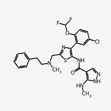 CNc1[nH]ncc1C(=O)Nc1sc(CN(C)CCc2ccccc2)nc1-c1cc(Cl)ccc1OC(F)F